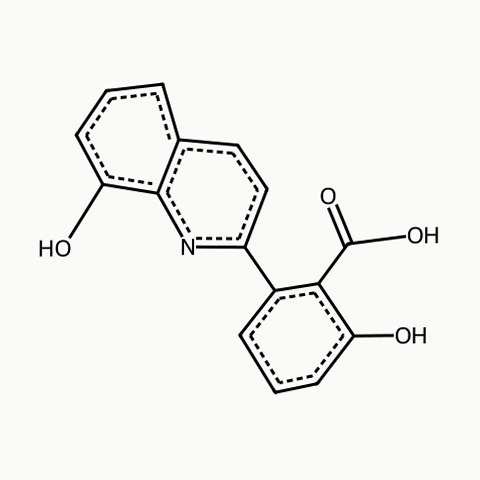 O=C(O)c1c(O)cccc1-c1ccc2cccc(O)c2n1